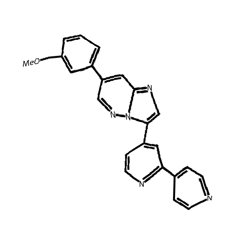 COc1cccc(-c2cnn3c(-c4ccnc(-c5ccncc5)c4)cnc3c2)c1